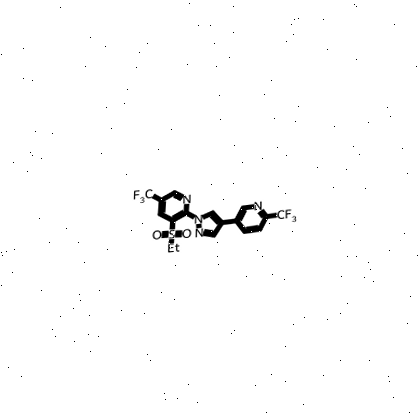 CCS(=O)(=O)c1cc(C(F)(F)F)cnc1-n1cc(-c2ccc(C(F)(F)F)nc2)cn1